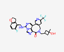 CC1(O)CC(CN2Cc3cc(C(F)(F)F)ncc3-c3cnc(NCc4c(F)ccc5c4CCO5)n4cnc(c34)C2=O)C1